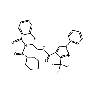 O=C(NCCN(C(=O)c1ccccc1F)C(=O)C1CCCCC1)c1cn(-c2ccccc2)nc1C(F)(F)F